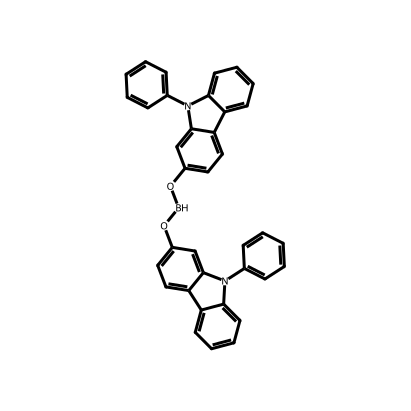 B(Oc1ccc2c3ccccc3n(-c3ccccc3)c2c1)Oc1ccc2c3ccccc3n(-c3ccccc3)c2c1